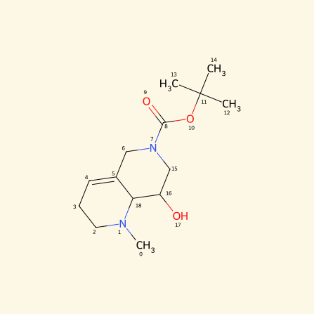 CN1CCC=C2CN(C(=O)OC(C)(C)C)CC(O)C21